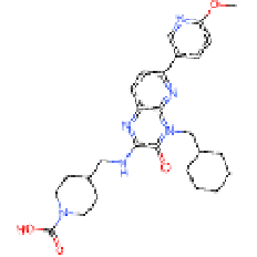 COc1ccc(-c2ccc3nc(NCC4CCN(C(=O)O)CC4)c(=O)n(CC4CCCCC4)c3n2)cn1